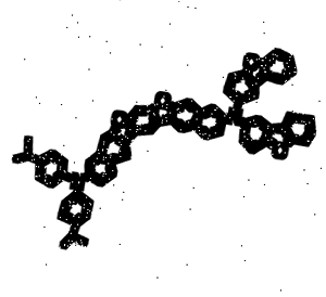 CC(C)c1ccc(N(c2ccc(C(C)C)cc2)c2ccc3cc4c(cc3c2)oc2cc3oc5cc6cc(N(c7ccc8oc9ccccc9c8c7)c7ccc8oc9ccccc9c8c7)ccc6cc5c3cc24)cc1